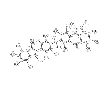 Cc1c(C)c([Si](C)(C)c2c(C)c(C)c(-n3c(C)c(C)c4c(C)c(C)c(C)c(C)c43)c(C)c2C)c(C)c(C)c1-c1c(C)c2c(C)c(C)c(C)c(C)c2n1C